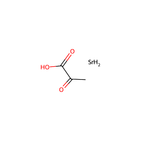 CC(=O)C(=O)O.[SrH2]